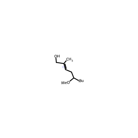 CCC(C)C(C/C=C(\C)CO)OC